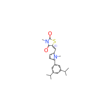 CC(C)c1cc(-c2ccc(/C=C3/SC(=O)N(C)C3=O)n2C)cc(C(C)C)c1